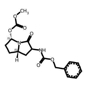 COC(=O)O[C@H]1CC[C@H]2CC(NC(=O)OCc3ccccc3)C(=O)N21